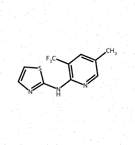 Cc1cnc(Nc2nccs2)c(C(F)(F)F)c1